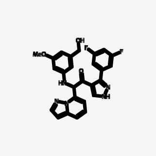 COc1cc(CO)cc(NC(C(=O)c2c[nH]nc2-c2cc(F)cc(F)c2)c2cccc3ccnn23)c1